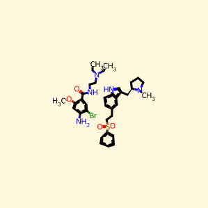 CCN(CC)CCNC(=O)c1cc(Br)c(N)cc1OC.CN1CCC[C@@H]1Cc1c[nH]c2ccc(CCS(=O)(=O)c3ccccc3)cc12